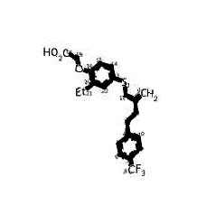 C=C(CCc1ccc(C(F)(F)F)cc1)CSc1ccc(OCC(=O)O)c(CC)c1